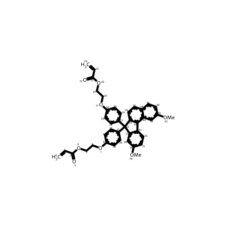 C=CC(=O)OCCOc1ccc(C2(c3ccc(OCCOC(=O)C=C)cc3)c3cc(OC)ccc3-c3c2ccc2ccc(OC)cc32)cc1